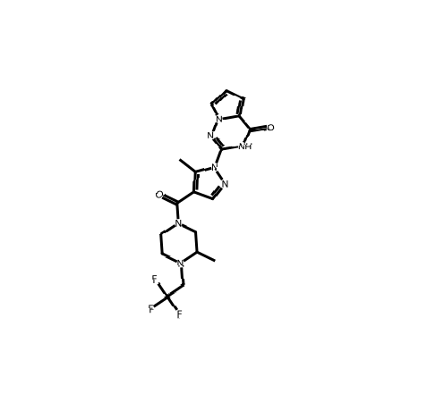 Cc1c(C(=O)N2CCN(CC(F)(F)F)C(C)C2)cnn1-c1nn2cccc2c(=O)[nH]1